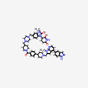 Cn1c(CN2CCC(c3ccc(C(=O)N4CCC(CN5CCN(Cc6ccc7c(c6)n(C)c(=O)n7C6CCC(=O)NC6=O)CC5)CC4)cc3)CC2)cc2c(-c3ccc4[nH]ncc4c3)ccnc21